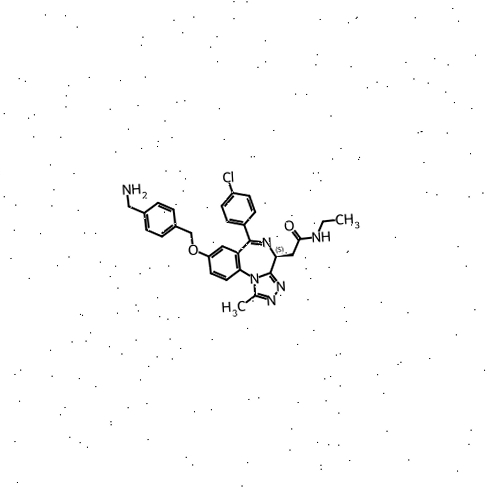 CCNC(=O)C[C@@H]1N=C(c2ccc(Cl)cc2)c2cc(OCc3ccc(CN)cc3)ccc2-n2c(C)nnc21